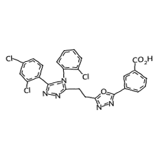 O=C(O)c1cccc(-c2nnc(CCc3nnc(-c4ccc(Cl)cc4Cl)n3-c3ccccc3Cl)o2)c1